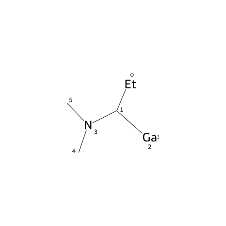 CC[CH]([Ga])N(C)C